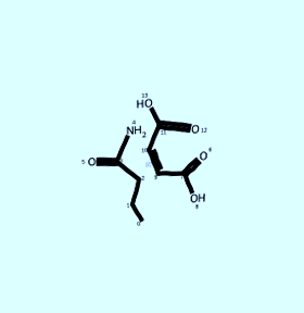 CCCC(N)=O.O=C(O)/C=C\C(=O)O